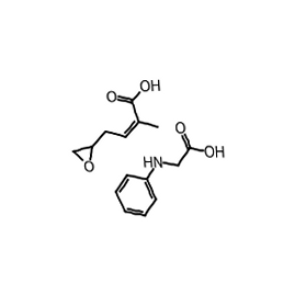 CC(=CCC1CO1)C(=O)O.O=C(O)CNc1ccccc1